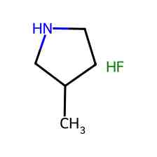 CC1CCNC1.F